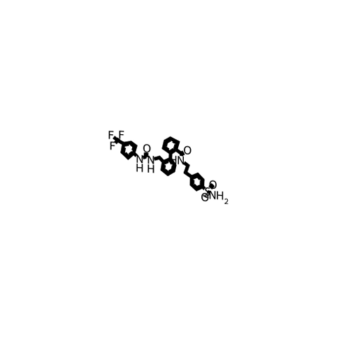 NS(=O)(=O)c1ccc(CCNC(=O)c2ccccc2-c2ccccc2CNC(=O)Nc2ccc(C(F)(F)F)cc2)cc1